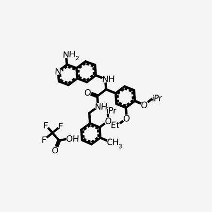 CCOc1cc(C(Nc2ccc3c(N)nccc3c2)C(=O)NCc2cccc(C)c2OC(C)C)ccc1OC(C)C.O=C(O)C(F)(F)F